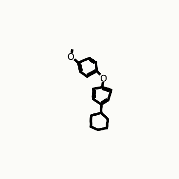 COc1ccc(Oc2ccc(C3CCCCC3)cc2)cc1